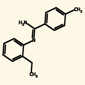 CCc1ccccc1N=C(N)c1ccc(C)cc1